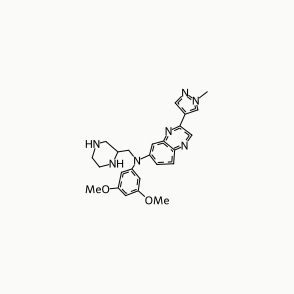 COc1cc(OC)cc(N(CC2CNCCN2)c2ccc3ncc(-c4cnn(C)c4)nc3c2)c1